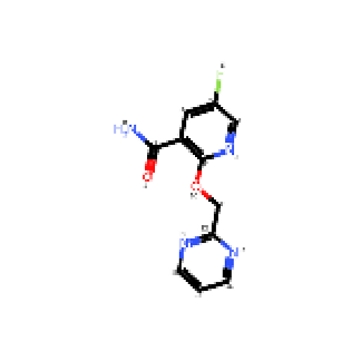 NC(=O)c1cc(F)cnc1OCc1ncccn1